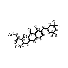 CCCC(CC1CC(=O)c2c(ccc(CC3CC(C)(C)CC(C)(C)C3)c2C)C1)C(CC)C(=O)CC(C)=O